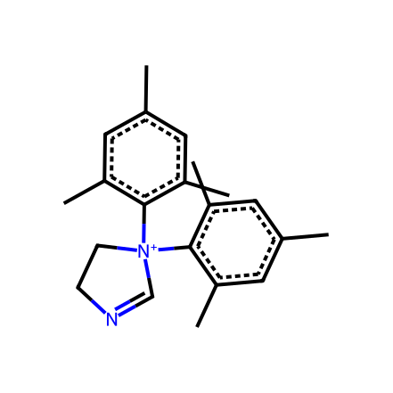 Cc1cc(C)c([N+]2(c3c(C)cc(C)cc3C)C=NCC2)c(C)c1